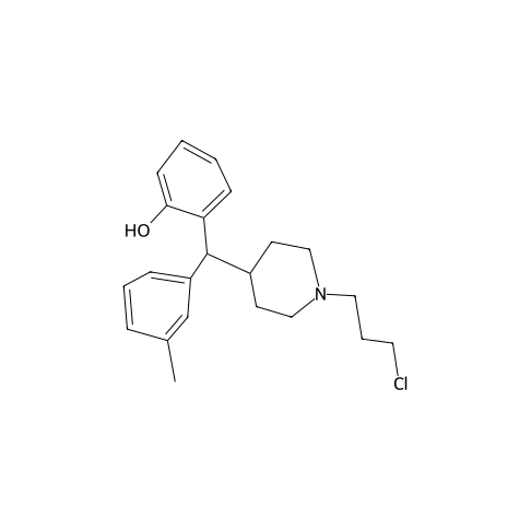 Cc1cccc(C(c2ccccc2O)C2CCN(CCCCl)CC2)c1